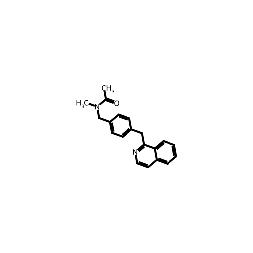 CC(=O)N(C)Cc1ccc(Cc2nccc3ccccc23)cc1